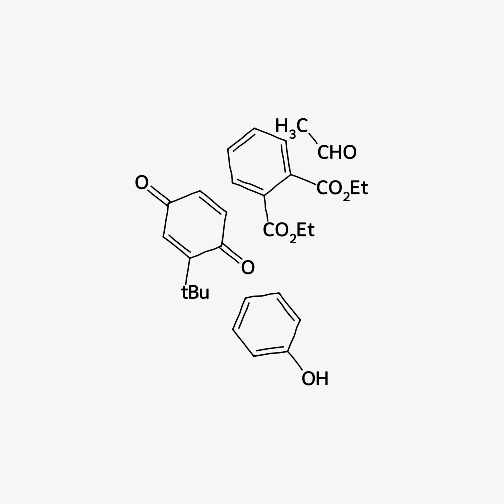 CC(C)(C)C1=CC(=O)C=CC1=O.CC=O.CCOC(=O)c1ccccc1C(=O)OCC.Oc1ccccc1